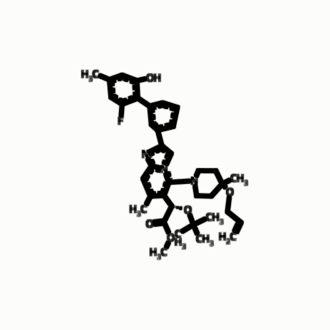 C=CCOC1(C)CCN(c2c([C@H](OC(C)(C)C)C(=O)OC)c(C)cc3nc(-c4cccc(-c5c(O)cc(C)cc5F)c4)cn23)CC1